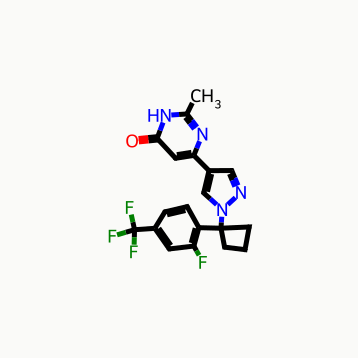 Cc1nc(-c2cnn(C3(c4ccc(C(F)(F)F)cc4F)CCC3)c2)cc(=O)[nH]1